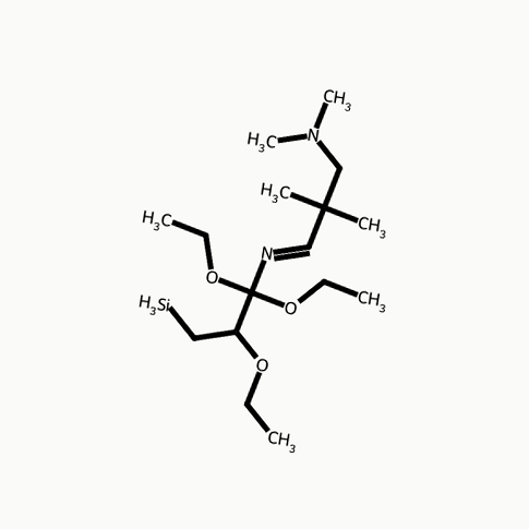 CCOC(C[SiH3])C(N=CC(C)(C)CN(C)C)(OCC)OCC